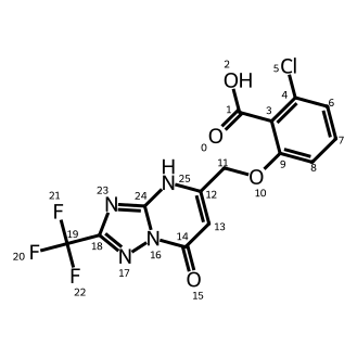 O=C(O)c1c(Cl)cccc1OCc1cc(=O)n2nc(C(F)(F)F)nc2[nH]1